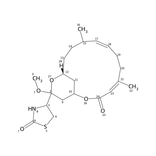 COC1(C2CSC(=O)N2)CC2C[C@@H](CCC(C)/C=C\CC/C(C)=C\C(=O)O2)O1